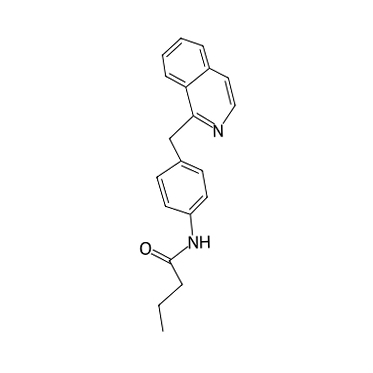 CCCC(=O)Nc1ccc(Cc2nccc3ccccc23)cc1